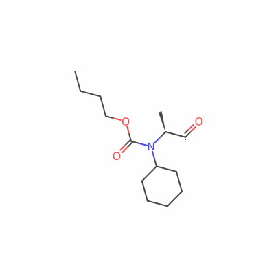 CCCCOC(=O)N(C1CCCCC1)[C@@H](C)[C]=O